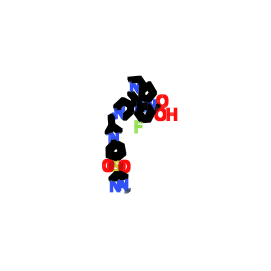 Cn1cc(S(=O)(=O)c2ccc(N3CC(CN4CCC(C(CN5CCC5)(c5cccc(F)c5)[C@H]5CCC[C@@H]5NC(=O)O)CC4)C3)cc2)cn1